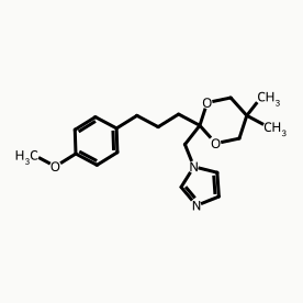 COc1ccc(CCCC2(Cn3ccnc3)OCC(C)(C)CO2)cc1